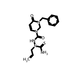 C=CCN(NC(=O)N1C=CC(=O)N(Cc2ccccc2)C1)C(N)=S